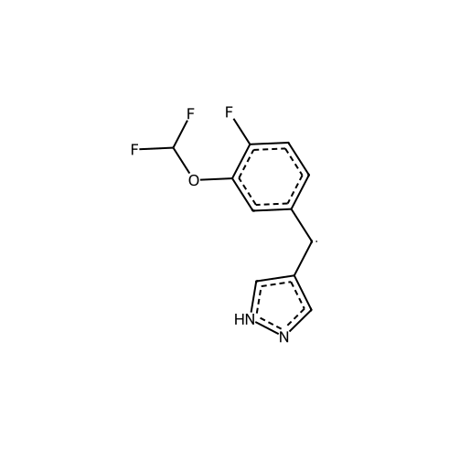 Fc1ccc([CH]c2cn[nH]c2)cc1OC(F)F